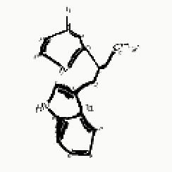 [CH2]C(Cc1c[nH]c2ccccc12)c1cnccn1